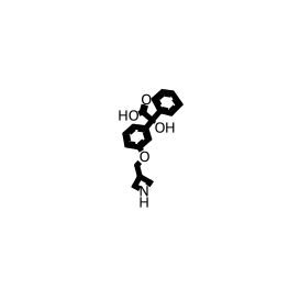 O=C(O)[C@](O)(c1ccccc1)c1cccc(OCC2CNC2)c1